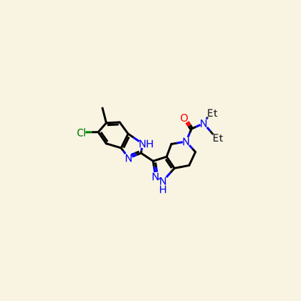 CCN(CC)C(=O)N1CCc2[nH]nc(-c3nc4cc(Cl)c(C)cc4[nH]3)c2C1